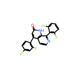 O=c1cc(-c2ccc(F)cc2F)c2ccnc(-c3c(F)cccc3F)c2[nH]1